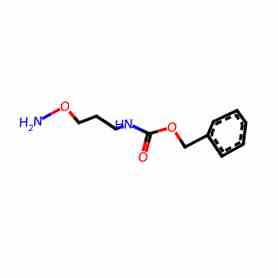 NOCCCNC(=O)OCc1ccccc1